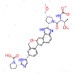 COC[C@H]1C[C@@H](c2nc3ccc4cc5c(cc4c3[nH]2)OCc2cc(-c3cnc([C@@H]4CCCN4C(=O)O)[nH]3)ccc2-5)N(C(=O)[C@@H](NC(=O)OC)[C@@H](C)OC)C1